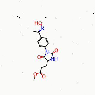 COC(=O)CCC1NC(=O)N(c2ccc(/C(C)=N/O)cc2)C1=O